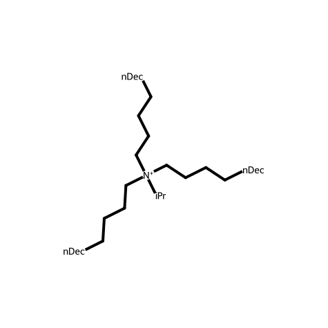 CCCCCCCCCCCCCC[N+](CCCCCCCCCCCCCC)(CCCCCCCCCCCCCC)C(C)C